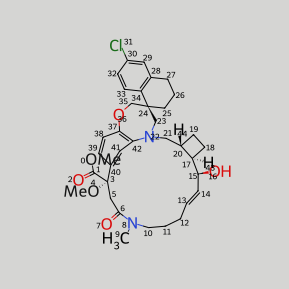 COC(=O)[C@]1(OC)CC(=O)N(C)CCC/C=C/[C@H](O)[C@@H]2CC[C@H]2CN2C[C@@]3(CCCc4cc(Cl)ccc43)COc3ccc1cc32